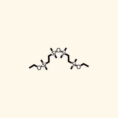 CCO[Si](C)(C)CC[Si](C)(C)O[Si](C)(C)CC[Si](C)(C)OCC